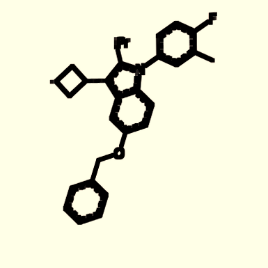 Cc1cc(-n2c(C(C)C)c(C3C[CH]C3)c3cc(OCc4ccccc4)ccc32)ccc1F